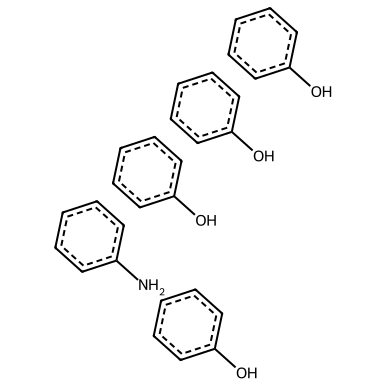 Nc1ccccc1.Oc1ccccc1.Oc1ccccc1.Oc1ccccc1.Oc1ccccc1